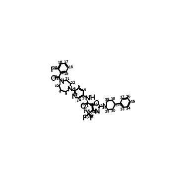 O=C(Nc1ccc(N2CCCN(C(=O)c3ccccc3F)CC2)nc1)c1oc(N2CCC(c3ccccc3)CC2)nc1C(F)(F)F